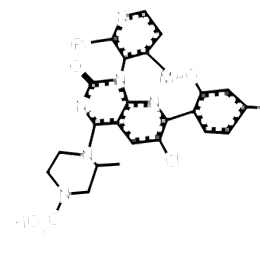 COc1cc(F)ccc1-c1nc2c(cc1Cl)c(N1CCN(C(=O)O)CC1C)nc(=O)n2-c1c(C)ccnc1C(C)C